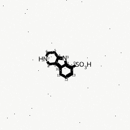 O=S(=O)(O)C1=C2N=C3CCNCC3=C2CC=C1